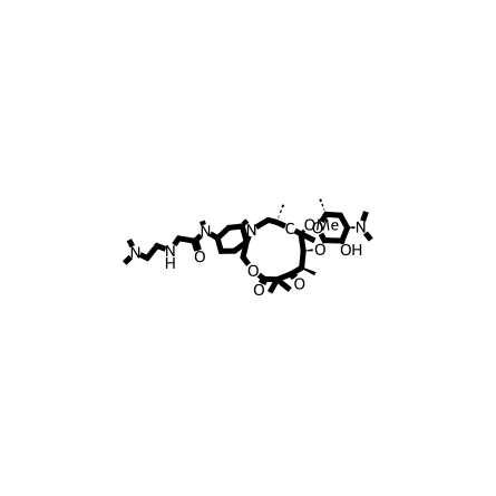 CO[C@]1(C)C[C@@H](C)CN(C)C2(CCC(N(C)C(=O)CNCCN(C)C)CC2)COC(=O)C(C)(C)C(=O)[C@H](C)[C@H]1O[C@@H]1O[C@H](C)C[C@H](N(C)C)[C@H]1O